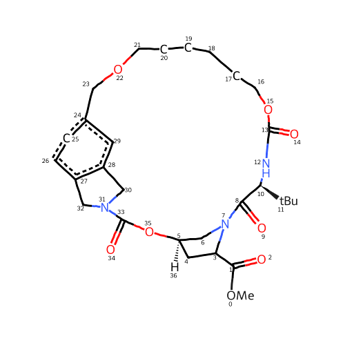 COC(=O)C1C[C@@H]2CN1C(=O)[C@H](C(C)(C)C)NC(=O)OCCCCCCOCc1ccc3c(c1)CN(C3)C(=O)O2